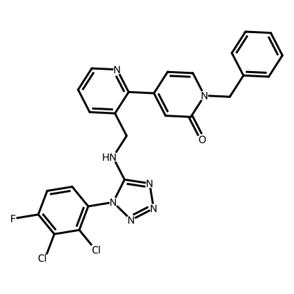 O=c1cc(-c2ncccc2CNc2nnnn2-c2ccc(F)c(Cl)c2Cl)ccn1Cc1ccccc1